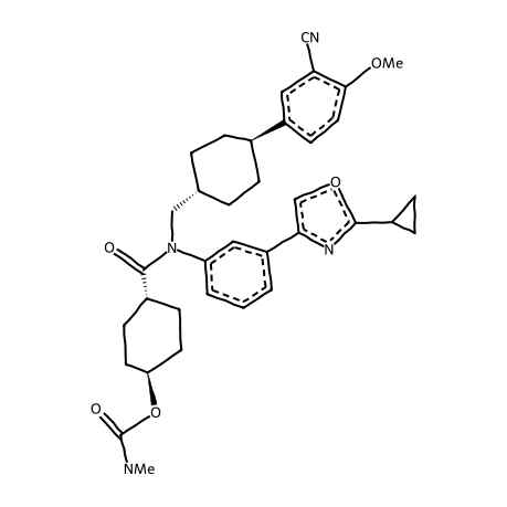 CNC(=O)O[C@H]1CC[C@H](C(=O)N(C[C@H]2CC[C@H](c3ccc(OC)c(C#N)c3)CC2)c2cccc(-c3coc(C4CC4)n3)c2)CC1